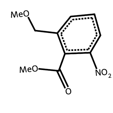 COCc1cccc([N+](=O)[O-])c1C(=O)OC